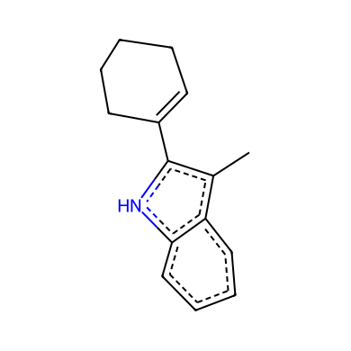 Cc1c(C2=CCCCC2)[nH]c2ccccc12